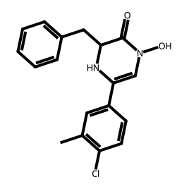 Cc1cc(C2=CN(O)C(=O)C(Cc3ccccc3)N2)ccc1Cl